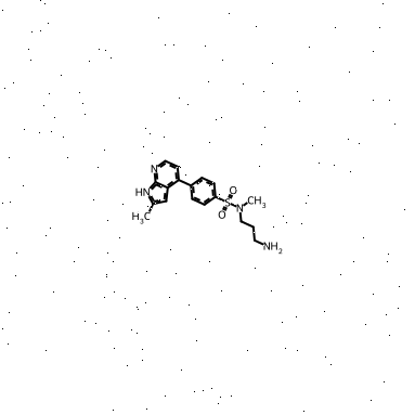 Cc1cc2c(-c3ccc(S(=O)(=O)N(C)CCCN)cc3)ccnc2[nH]1